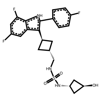 O=S(=O)(NC[C@H]1C[C@H](c2c(-c3ccc(F)cc3)[nH]c3c(F)cc(F)cc32)C1)N[C@H]1C[C@H](O)C1